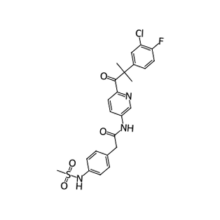 CC(C)(C(=O)c1ccc(NC(=O)Cc2ccc(NS(C)(=O)=O)cc2)cn1)c1ccc(F)c(Cl)c1